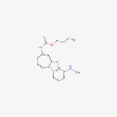 CCC=CCOC(=O)Nc1cccc2c3cccc(NC(C)(C)C)c3nc-2c1